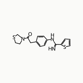 N=C(Nc1ccc(CC(=O)N2CCSC2)cc1)c1cccs1